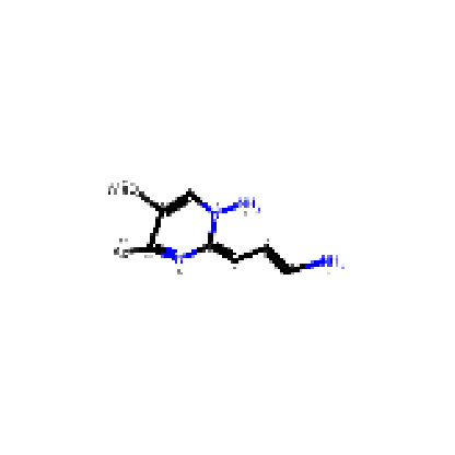 COC1=CN(N)/C(=C\C=C\N)N=C1C(C)=O